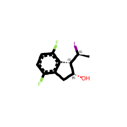 C[C@H](I)[C@H]1c2c(F)ccc(F)c2C[C@H]1O